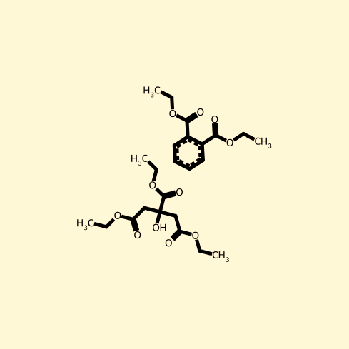 CCOC(=O)CC(O)(CC(=O)OCC)C(=O)OCC.CCOC(=O)c1ccccc1C(=O)OCC